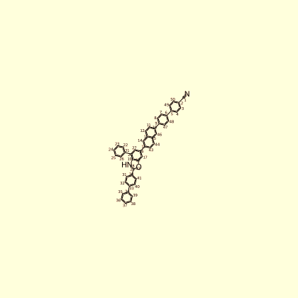 N#Cc1ccc(-c2ccc(-c3ccc4cc(-c5cc6c(c(-c7ccccc7)c5)NC(c5ccc(-c7ccccc7)cc5)O6)ccc4c3)cc2)cc1